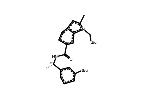 Cc1cc2ccc(C(=O)N[C@@H](C)c3cccc(C(C)(C)C)c3)cc2n1CC(C)(C)C